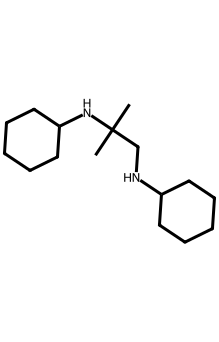 CC(C)(CNC1CCCCC1)NC1CCCCC1